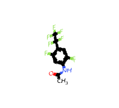 CC(=O)Nc1cc(F)c(C(F)(F)C(F)(F)F)cc1F